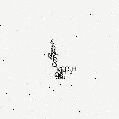 Cc1cn(COCCS(C)(C)C)c2nccc(Oc3cccc(C(CNC(=O)OC(C)(C)C)CC(=O)O)c3)c12